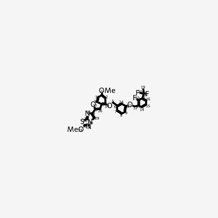 COc1cc(OCc2cccc(OCc3cccc(C(C)(F)F)c3F)c2)c2cc(-c3cn4nc(OC)sc4n3)oc2c1